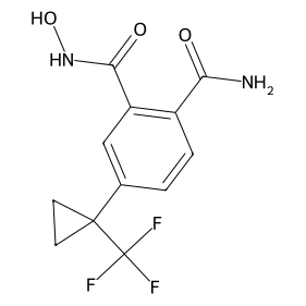 NC(=O)c1ccc(C2(C(F)(F)F)CC2)cc1C(=O)NO